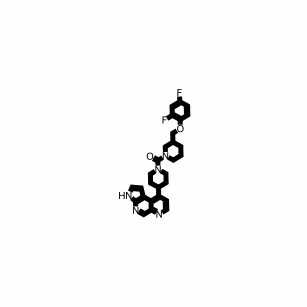 O=C(N1CCC(c2ccnc3cnc4[nH]ccc4c23)CC1)N1CCCC(COc2ccc(F)cc2F)C1